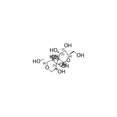 OC[C@H]1O[C@H](O)[C@@](O)([C@@]2(O)[C@H](O)[C@@H](CO)OC[C@@H]2O)[C@@H](O)[C@@H]1O